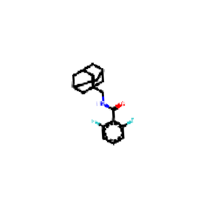 O=C(NCC12CC3CC(CC(C3)C1)C2)c1c(F)cccc1F